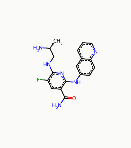 C[C@H](N)CNc1nc(Nc2ccc3ncccc3c2)c(C(N)=O)cc1F